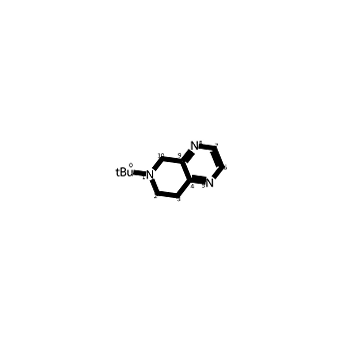 CC(C)(C)N1CCc2nccnc2C1